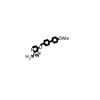 COc1ccc(-c2ccc(COc3ccnc4c3nnn4N)cc2)cc1